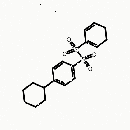 O=S(=O)(C1=CCCC=C1)S(=O)(=O)c1ccc(C2CCCCC2)cc1